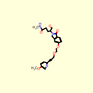 CNC(=O)CCC(C=O)N1Cc2cc(OCCOCC#Cc3ccc(OC)cn3)ccc2C1=O